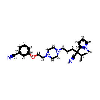 CC(C)C(C#N)(CCCN1CCN(CCOc2cccc(C#N)c2)CC1)c1cccn1C